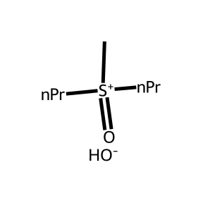 CCC[S+](C)(=O)CCC.[OH-]